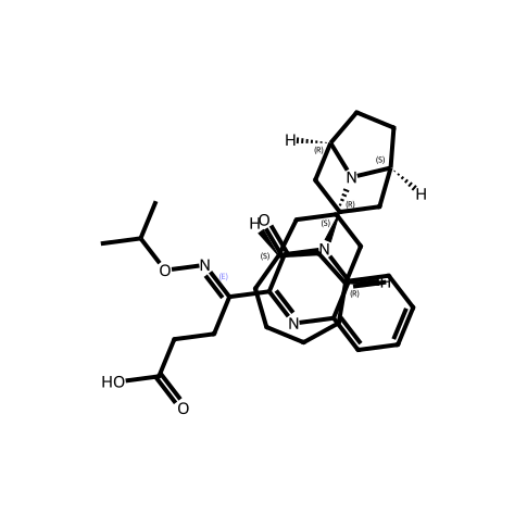 CC(C)O/N=C(\CCC(=O)O)c1nc2ccccc2n([C@H]2C[C@H]3CC[C@@H](C2)N3[C@@H]2C[C@@H]3CCCC[C@@H](C3)C2)c1=O